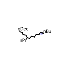 [CH2]CCC/C=C/CCCCCC(CCC)CCCCCCCCCCCCC[CH2]